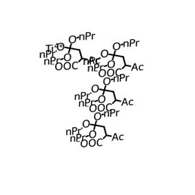 CCCOC(CC(C(C)=O)C(=O)[O-])(OCCC)OCCC.CCCOC(CC(C(C)=O)C(=O)[O-])(OCCC)OCCC.CCCOC(CC(C(C)=O)C(=O)[O-])(OCCC)OCCC.CCCOC(CC(C(C)=O)C(=O)[O-])(OCCC)OCCC.[Ti+4]